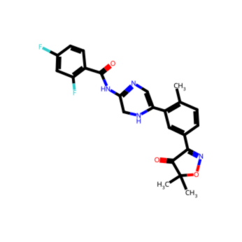 Cc1ccc(C2=NOC(C)(C)C2=O)cc1C1=CN=C(NC(=O)c2ccc(F)cc2F)CN1